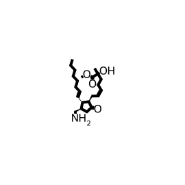 CCCCCC/C=C/[C@H]1[C@H](CN)CC(=O)[C@@H]1C/C=C\CCC(C)(O)C(=O)OC